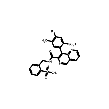 Cc1cc(-c2c(C(=O)NCc3ccccc3S(C)(=O)=O)ncc3cccnc23)c(S(=O)(=O)O)cc1Br